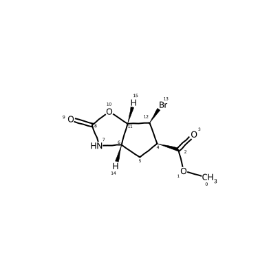 COC(=O)[C@H]1C[C@@H]2NC(=O)O[C@@H]2[C@H]1Br